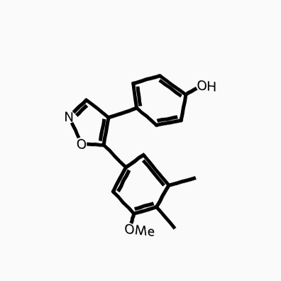 COc1cc(-c2oncc2-c2ccc(O)cc2)cc(C)c1C